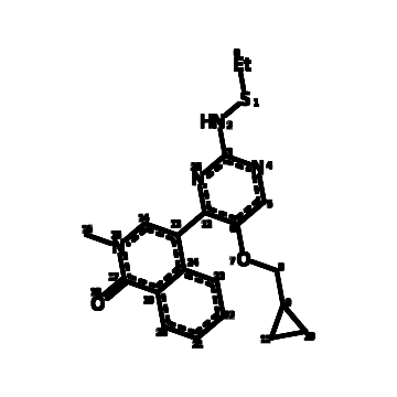 CCSNc1ncc(OCC2CC2)c(-c2cn(C)c(=O)c3ccccc23)n1